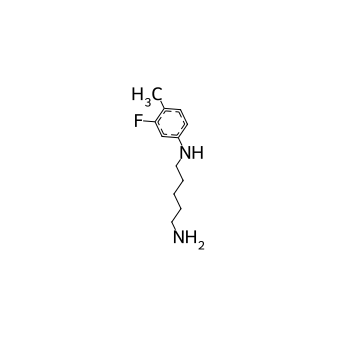 Cc1ccc(NCCCCCN)cc1F